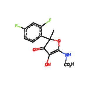 CC1(c2ccc(F)cc2F)OC(NC(=O)O)=C(O)C1=O